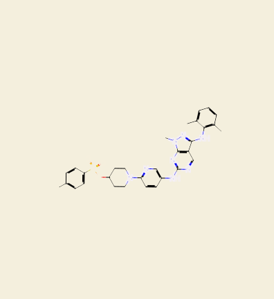 CCc1ccc(S(=O)(=O)OC2CCN(c3ccc(Nc4ncc5c(Nc6c(C)cccc6C)nn(C)c5n4)cn3)CC2)cc1